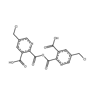 O=C(O)c1cc(CCl)cnc1C(=O)OC(=O)c1ncc(CCl)cc1C(=O)O